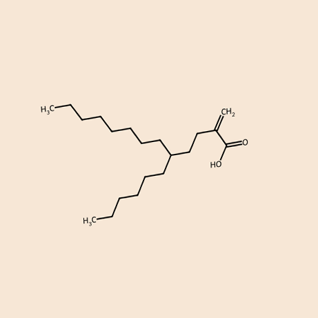 C=C(CCC(CCCCCC)CCCCCCCC)C(=O)O